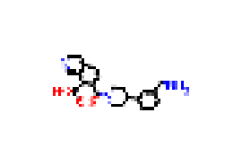 NCc1cccc(C2CCN(C(=O)c3ccc4ccncc4c3B(O)O)CC2)c1